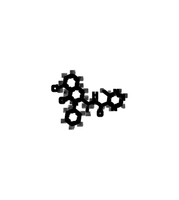 Cc1nncnc1C(=O)N[C@@H](C)c1cc2cccc(Cl)c2c(=O)n1-c1ccccc1